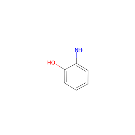 [NH]c1ccccc1O